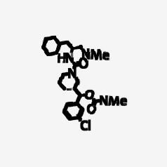 CNC[C@H](CC1CCCCC1)NC(=O)N1CCC[C@@H]([C@@H](OC(=O)NC)c2cccc(Cl)c2)C1